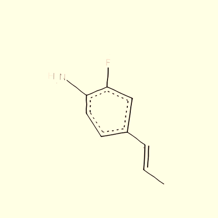 C/C=C/c1ccc(N)c(F)c1